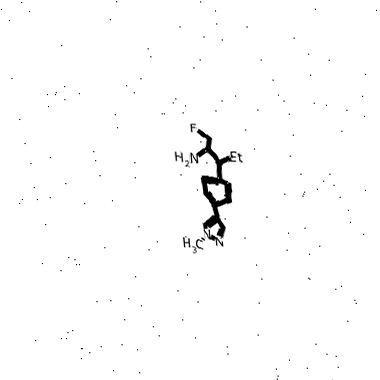 CCC(c1ccc(-c2cnn(C)c2)cc1)C(N)CF